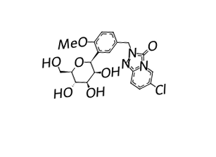 COc1ccc(Cn2nc3ccc(Cl)cn3c2=O)cc1[C@@H]1O[C@H](CO)[C@@H](O)[C@H](O)[C@@H]1O